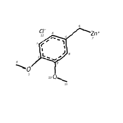 COc1ccc([CH2][Zn+])cc1OC.[Cl-]